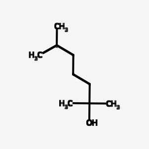 C[C](C)CCCC(C)(C)O